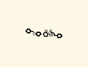 CC(CCc1ccccc1)N[C@H]1CC[C@@H](c2ccc(OCc3ccccc3)cc2)CC1